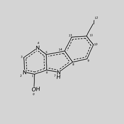 Oc1ncnc2c1[nH]c1ccc(I)cc12